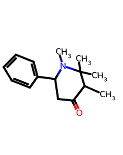 CC1C(=O)CC(c2ccccc2)N(C)C1(C)C